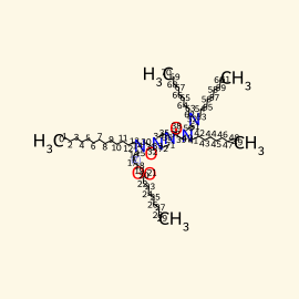 CCCCCCCCCCCCCCN(C/C=C\COC(=O)CCCCCCCC)CC(=O)N1CCN(C(=O)CN(CCCCCCCCC)CCN(CCCCCCCCC)CCCCCCCCC)CC1